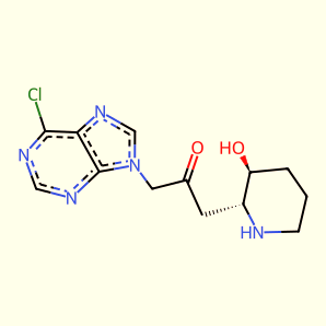 O=C(C[C@H]1NCCC[C@@H]1O)Cn1cnc2c(Cl)ncnc21